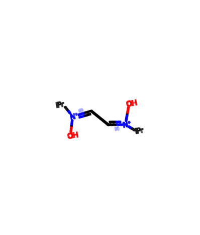 CC(C)/[N+](O)=C/C=[N+](\O)C(C)C